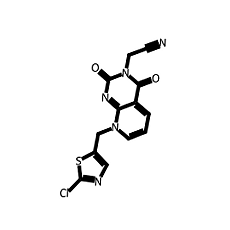 N#CCn1c(=O)nc2n(Cc3cnc(Cl)s3)cccc-2c1=O